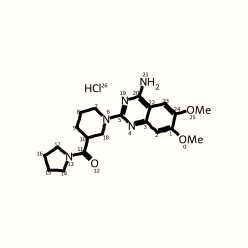 COc1cc2nc(N3CCCC(C(=O)N4CCCC4)C3)nc(N)c2cc1OC.Cl